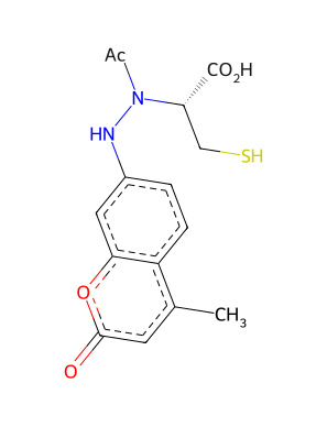 CC(=O)N(Nc1ccc2c(C)cc(=O)oc2c1)[C@@H](CS)C(=O)O